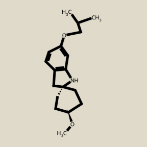 CO[C@H]1CC[C@]2(CC1)Cc1ccc(OCC(C)C)cc1N2